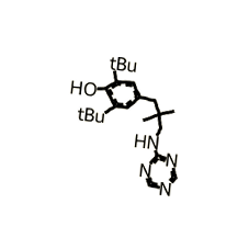 CC(C)(CNc1ncncn1)Cc1cc(C(C)(C)C)c(O)c(C(C)(C)C)c1